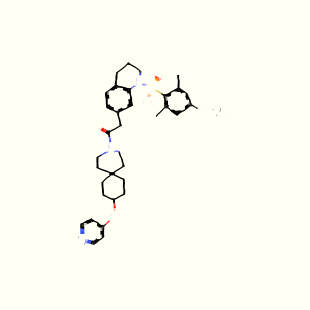 COc1cc(C)c(S(=O)(=O)N2CCCc3ccc(CC(=O)N4CCC5(CCC(Oc6ccncc6)CC5)CC4)cc32)c(C)c1